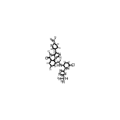 [2H]C([2H])([2H])n1nnc(-c2nc(Cl)ccc2NC(C)c2cc(C)cc3c(=O)n(C)c4c(-c5ccc(N(C)C)nc5)ncn4c23)n1